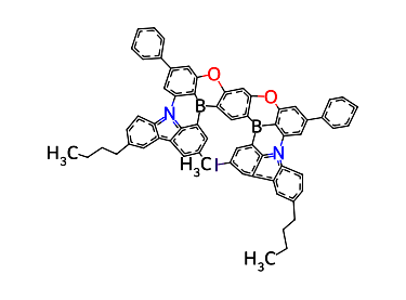 CCCCc1ccc2c(c1)c1cc(C)cc3c1n2-c1cc(-c2ccccc2)cc2c1B3c1cc3c(cc1O2)Oc1cc(-c2ccccc2)cc2c1B3c1cc(I)cc3c4cc(CCCC)ccc4n-2c13